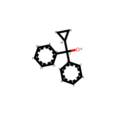 [O]C(c1ccccc1)(c1ccccc1)C1CC1